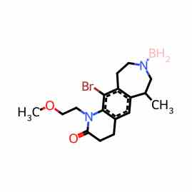 BN1CCc2c(cc3c(c2Br)N(CCOC)C(=O)CC3)C(C)C1